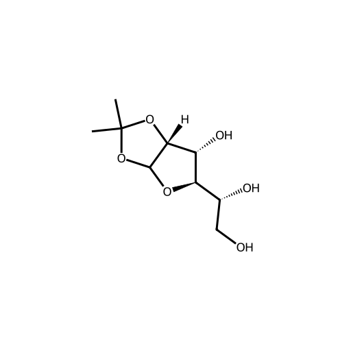 CC1(C)OC2O[C@H]([C@H](O)CO)[C@@H](O)[C@H]2O1